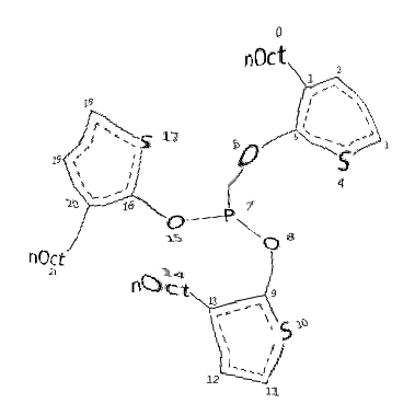 CCCCCCCCc1ccsc1OP(Oc1sccc1CCCCCCCC)Oc1sccc1CCCCCCCC